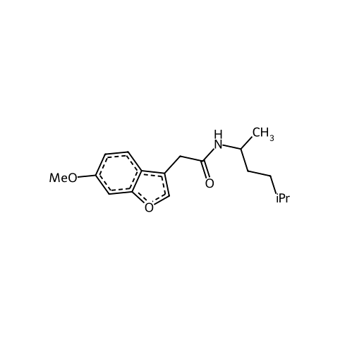 COc1ccc2c(CC(=O)NC(C)CCC(C)C)coc2c1